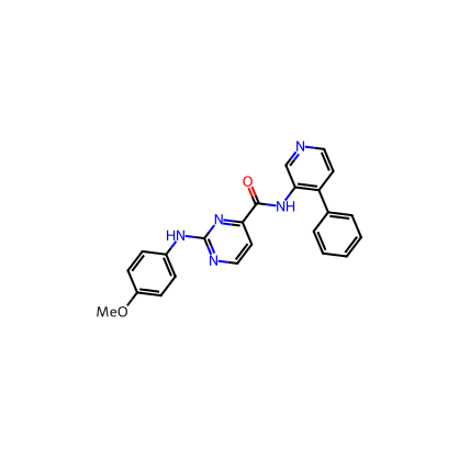 COc1ccc(Nc2nccc(C(=O)Nc3cnccc3-c3ccccc3)n2)cc1